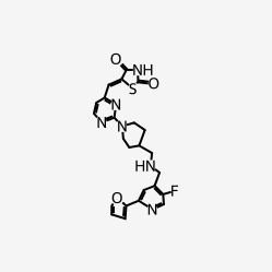 O=C1NC(=O)C(=Cc2ccnc(N3CCC(CNCc4cc(-c5ccco5)ncc4F)CC3)n2)S1